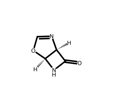 O=C1N[C@H]2OC=N[C@@H]12